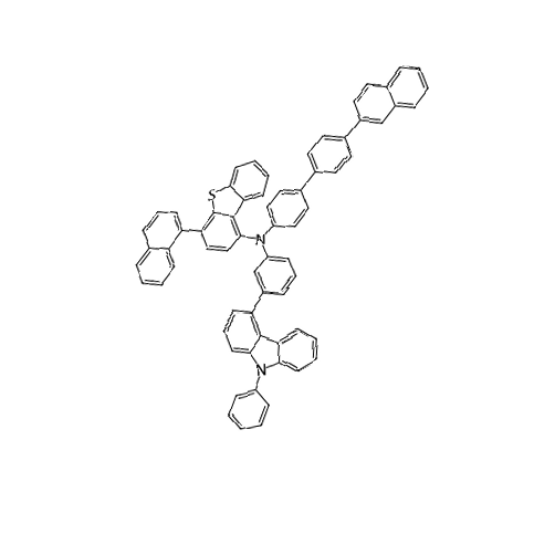 c1ccc(-n2c3ccccc3c3c(-c4cccc(N(c5ccc(-c6ccc(-c7ccc8ccccc8c7)cc6)cc5)c5ccc(-c6cccc7ccccc67)c6sc7ccccc7c56)c4)cccc32)cc1